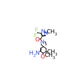 Cn1cc(C(=O)N2CC[C@]3(C=C(N)C(=O)C(C)(C)C3)C2)c(C(F)F)n1